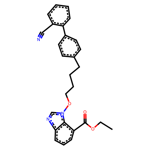 CCOC(=O)c1cccc2ncn(OCCCCc3ccc(-c4ccccc4C#N)cc3)c12